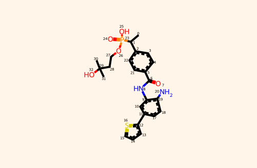 CC(c1ccc(C(=O)Nc2cc(-c3cccs3)ccc2N)cc1)P(=O)(O)OCCC(C)(C)O